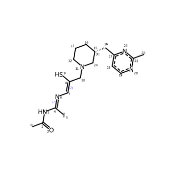 CC(=O)N/C(I)=N/C=C(\S)CN1CCC[C@H](Cc2ccnc(C)n2)C1